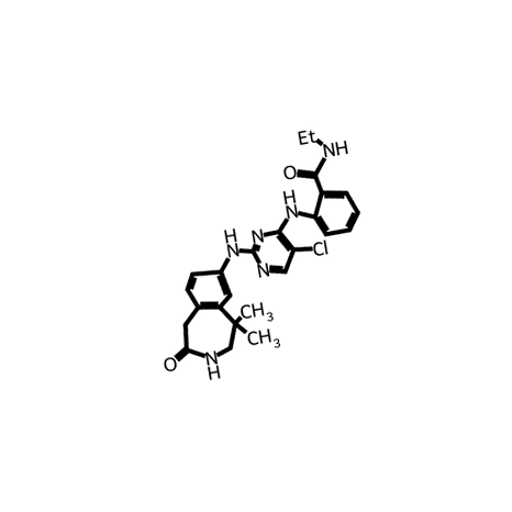 CCNC(=O)c1ccccc1Nc1nc(Nc2ccc3c(c2)C(C)(C)CNC(=O)C3)ncc1Cl